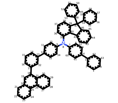 c1ccc(-c2ccc(N(c3ccc(-c4cccc(-c5cc6ccccc6c6ccccc56)c4)cc3)c3cccc4c3-c3ccccc3C4(c3ccccc3)c3ccccc3)cc2)cc1